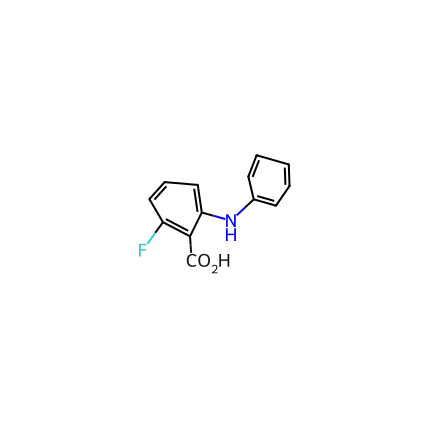 O=C(O)c1c(F)cccc1Nc1ccccc1